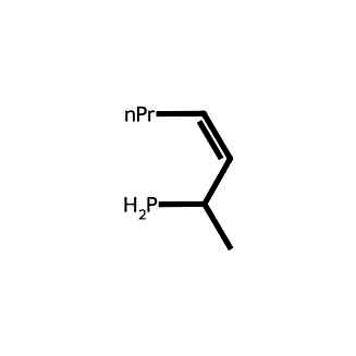 CCC/C=C\C(C)P